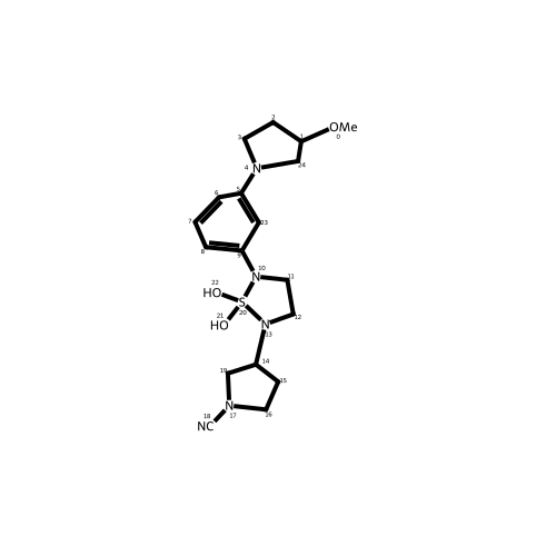 COC1CCN(c2cccc(N3CCN(C4CCN(C#N)C4)S3(O)O)c2)C1